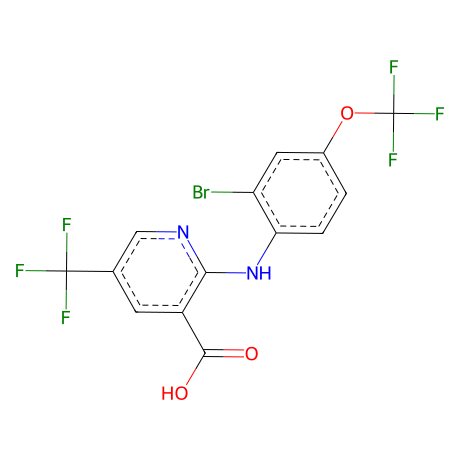 O=C(O)c1cc(C(F)(F)F)cnc1Nc1ccc(OC(F)(F)F)cc1Br